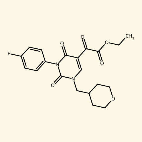 CCOC(=O)C(=O)c1cn(CC2CCOCC2)c(=O)n(-c2ccc(F)cc2)c1=O